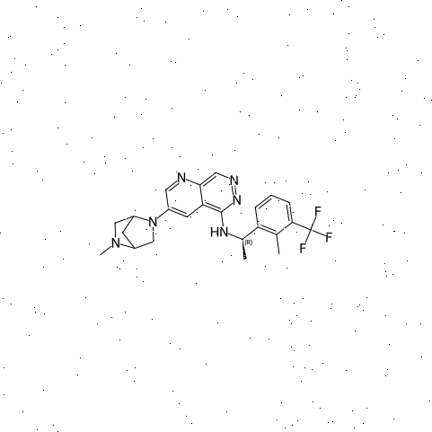 Cc1c([C@@H](C)Nc2nncc3ncc(N4CC5CC4CN5C)cc23)cccc1C(F)(F)F